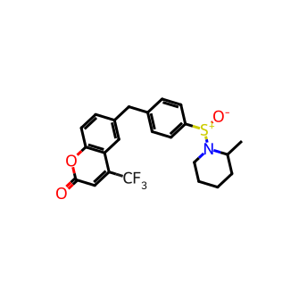 CC1CCCCN1[S+]([O-])c1ccc(Cc2ccc3oc(=O)cc(C(F)(F)F)c3c2)cc1